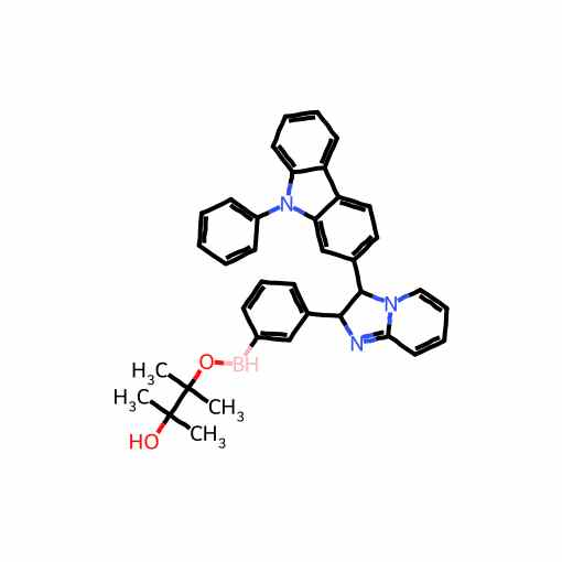 CC(C)(O)C(C)(C)OBc1cccc(C2N=C3C=CC=CN3C2c2ccc3c4ccccc4n(-c4ccccc4)c3c2)c1